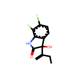 C=C(CC)C1(O)C(=O)Nc2c1ccc(F)c2F